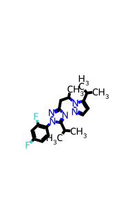 CC(C)c1nc(CC(C)n2nccc2C(C)C)nn1-c1ccc(F)cc1F